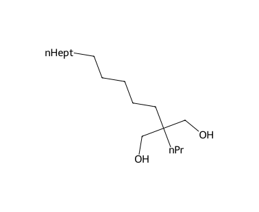 CCCCCCCCCCCCC(CO)(CO)CCC